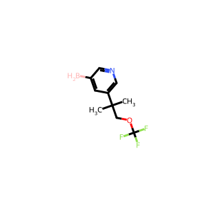 Bc1cncc(C(C)(C)COC(F)(F)F)c1